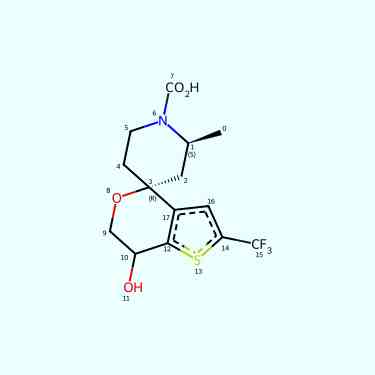 C[C@H]1C[C@@]2(CCN1C(=O)O)OCC(O)c1sc(C(F)(F)F)cc12